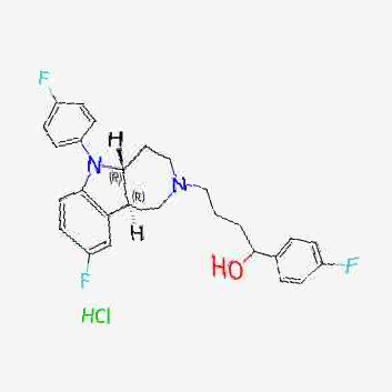 Cl.OC(CCCN1CC[C@@H]2[C@@H](C1)c1cc(F)ccc1N2c1ccc(F)cc1)c1ccc(F)cc1